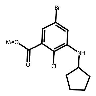 COC(=O)c1cc(Br)cc(NC2CCCC2)c1Cl